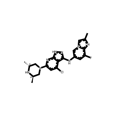 Cc1cn2cc(Nc3n[nH]c4nc(N5C[C@@H](C)N[C@H](C)C5)cc(Cl)c34)cc(F)c2n1